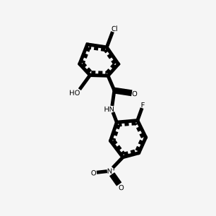 O=C(Nc1cc([N+](=O)[O-])ccc1F)c1cc(Cl)ccc1O